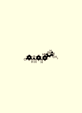 Cc1nc[nH]c1/C=C1\C(=O)Nc2cc(Nc3cccc(NC(=O)Nc4cccc(Cl)c4)c3)ccc21